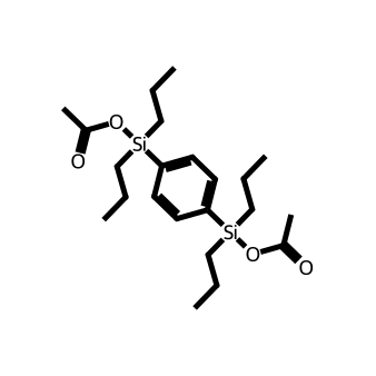 CCC[Si](CCC)(OC(C)=O)c1ccc([Si](CCC)(CCC)OC(C)=O)cc1